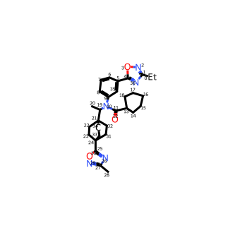 CCc1noc(-c2cccc(N(C(=O)C3CCCCC3)C(C)C34CCC(c5nc(C)no5)(CC3)CC4)c2)n1